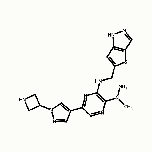 CN(N)c1ncc(-c2cnn(C3CNC3)c2)nc1NCc1cc2[nH]ncc2s1